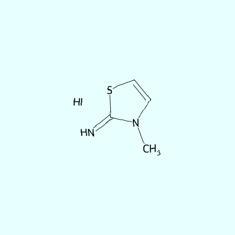 Cn1ccsc1=N.I